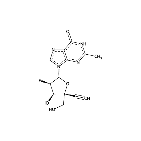 C#C[C@]1(CO)O[C@@H](n2cnc3c(=O)[nH]c(C)nc32)[C@H](F)[C@@H]1O